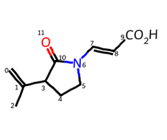 C=C(C)C1CCN(C=CC(=O)O)C1=O